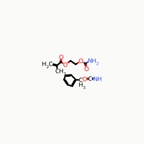 C=C(C)C(=O)OCCOC(N)=O.Cc1ccccc1.N=C=O